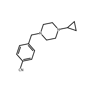 N#Cc1ccc(CN2CCN(C3CC3)CC2)cc1